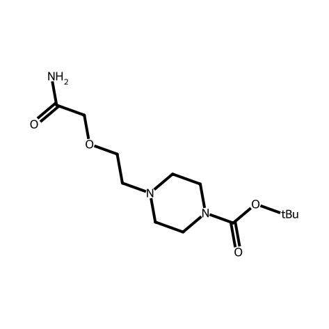 CC(C)(C)OC(=O)N1CCN(CCOCC(N)=O)CC1